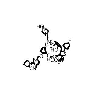 N#CC1CCCCN1c1nccc(COc2ccc3cc2C[C@H](C(=O)O)Oc2ncnc4sc(-c5ccc(F)cc5)c(c24)-c2ccc(c(Cl)c2O)CN(CCN2CCN(O)CC2)C3)n1